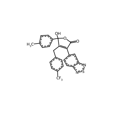 Cc1ccc(C2(O)OC(=O)C(c3ccc4nsnc4c3)=C2Cc2ccc(C(F)(F)F)cc2)cc1